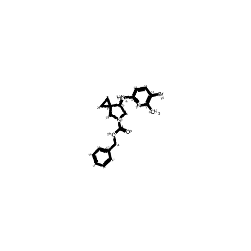 Cc1nc(NC2CN(C(=O)OCc3ccccc3)CC23CC3)ccc1Br